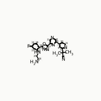 CC(C)(C#N)c1cc(-c2cncc(-c3nnc(-c4ccc(F)cc4NCCN)o3)n2)ccn1